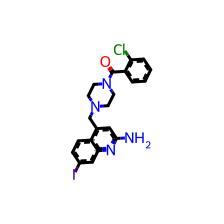 Nc1cc(CN2CCN(C(=O)c3ccccc3Cl)CC2)c2ccc(I)cc2n1